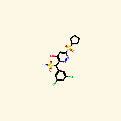 NS(=O)(=O)C(c1cc(Cl)cc(Cl)c1)c1nnc(S(=O)(=O)C2CCCC2)cc1O